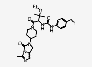 CCOC(C)(C)C(NC(=O)Nc1ccc(CI)cc1)C(=O)N1CCC(N2Cc3cnc(C)n3C2=O)CC1